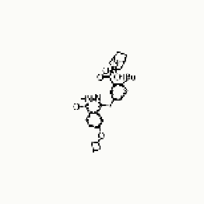 CC(C)(C)OC(=O)N1C2CCC1CN(C(=O)c1cc(Cc3n[nH]c(=O)c4ccc(OC5CCC5)cc34)ccc1F)C2